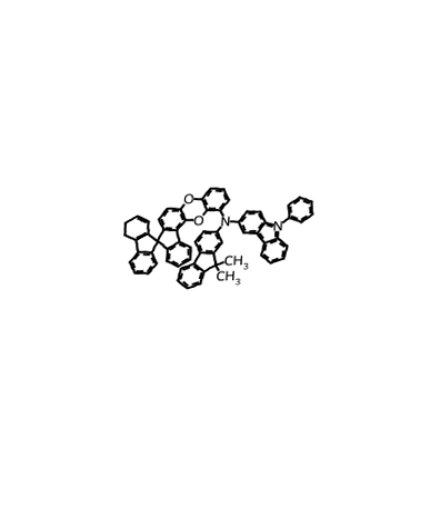 CC1(C)c2ccccc2-c2ccc(N(c3ccc4c(c3)c3ccccc3n4-c3ccccc3)c3cccc4c3Oc3c(ccc5c3-c3ccccc3C53C5=C(CCC=C5)c5ccccc53)O4)cc21